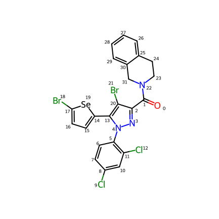 O=C(c1nn(-c2ccc(Cl)cc2Cl)c(-c2ccc(Br)[se]2)c1Br)N1CCc2ccccc2C1